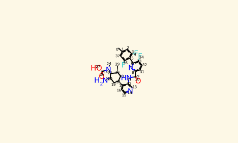 Cc1cc(F)c(-c2nc(C(=O)Nc3cnccc3[C@H]3C[C@@H](N)[C@@H](N(C)C(=O)O)[C@@H](C)C3)ccc2F)c(F)c1